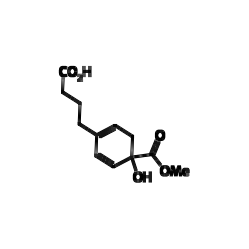 COC(=O)C1(O)C=CC(CCCC(=O)O)=CC1